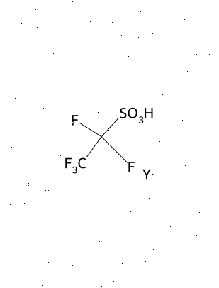 O=S(=O)(O)C(F)(F)C(F)(F)F.[Y]